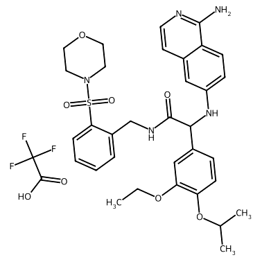 CCOc1cc(C(Nc2ccc3c(N)nccc3c2)C(=O)NCc2ccccc2S(=O)(=O)N2CCOCC2)ccc1OC(C)C.O=C(O)C(F)(F)F